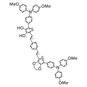 COc1ccc(N(c2ccc(OC)cc2)c2ccc(-c3sc(/C=C/c4ccc(/C=C/c5sc(-c6ccc(N(c7ccc(OC)cc7)c7ccc(OC)cc7)cc6)c6c5OCCO6)cc4)c(O)c3O)cc2)cc1